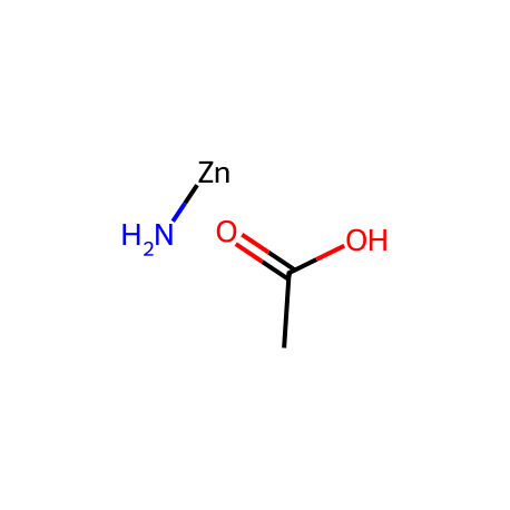 CC(=O)O.[NH2][Zn]